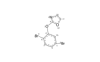 Brc1ccc(Br)c(Oc2n[c]co2)c1